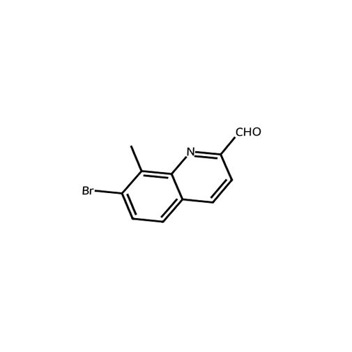 Cc1c(Br)ccc2ccc(C=O)nc12